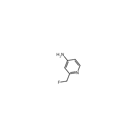 Nc1ccnc(CF)c1